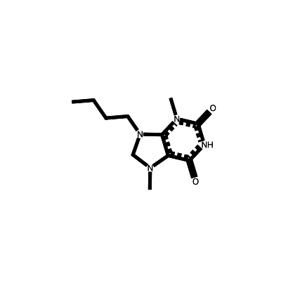 CCCCN1CN(C)c2c1n(C)c(=O)[nH]c2=O